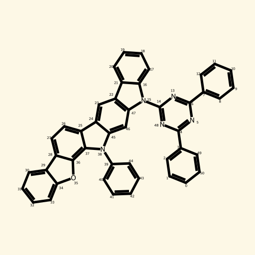 c1ccc(-c2nc(-c3ccccc3)nc(-n3c4ccccc4c4cc5c6ccc7c8ccccc8oc7c6n(-c6ccccc6)c5cc43)n2)cc1